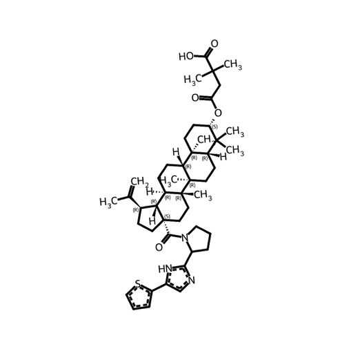 C=C(C)[C@@H]1CC[C@]2(C(=O)N3CCCC3c3ncc(-c4cccs4)[nH]3)CC[C@]3(C)[C@H](CC[C@@H]4[C@@]5(C)CC[C@H](OC(=O)CC(C)(C)C(=O)O)C(C)(C)[C@@H]5CC[C@]43C)[C@@H]12